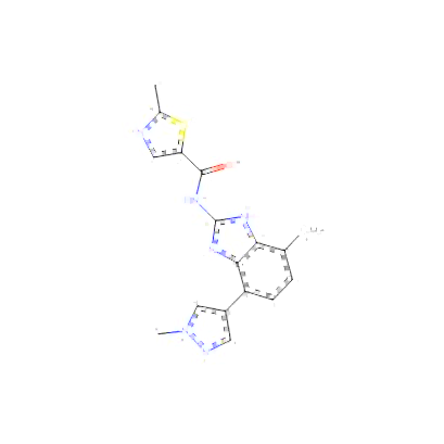 COc1ccc(-c2cnn(C)c2)c2nc(NC(=O)c3cnc(C)s3)[nH]c12